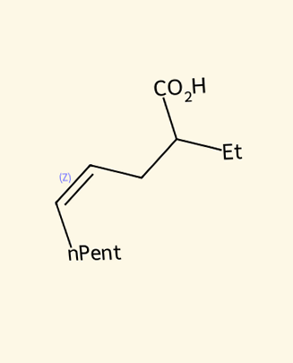 CCCCC/C=C\CC(CC)C(=O)O